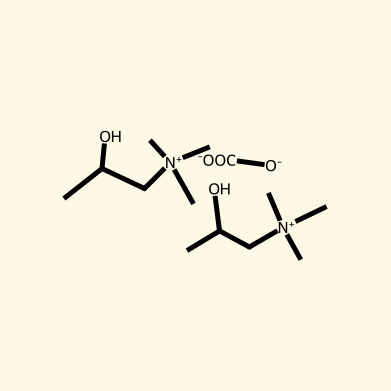 CC(O)C[N+](C)(C)C.CC(O)C[N+](C)(C)C.O=C([O-])[O-]